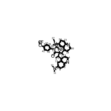 CC(c1ccnc2ccc(N(C)C)cc12)C1(C(C)c2ccnc3ccc(N(C)C)cc23)NC(=O)N(c2ccc(OC(F)(F)F)cc2)C1=O